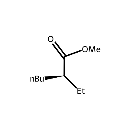 CCCC[C@H](CC)C(=O)OC